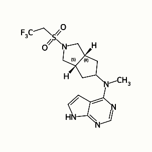 CN(c1ncnc2[nH]ccc12)C1C[C@@H]2CN(S(=O)(=O)CC(F)(F)F)C[C@@H]2C1